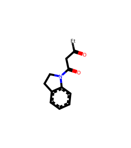 CCC(=O)CC(=O)N1CCc2ccccc21